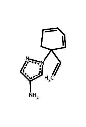 C=CC1(n2cc(N)cn2)C=CC=CC1